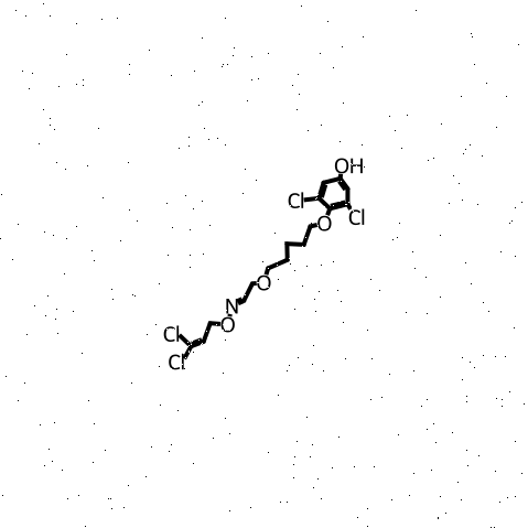 Oc1cc(Cl)c(OCCCCCOC/C=N/OCC=C(Cl)Cl)c(Cl)c1